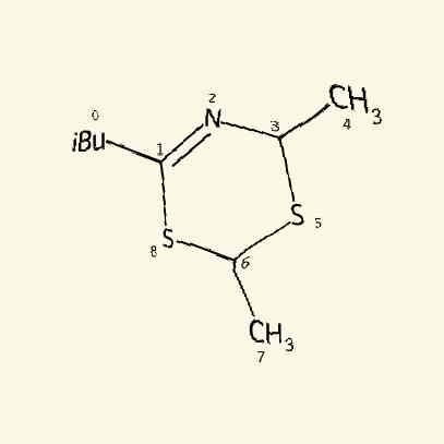 CCC(C)C1=NC(C)SC(C)S1